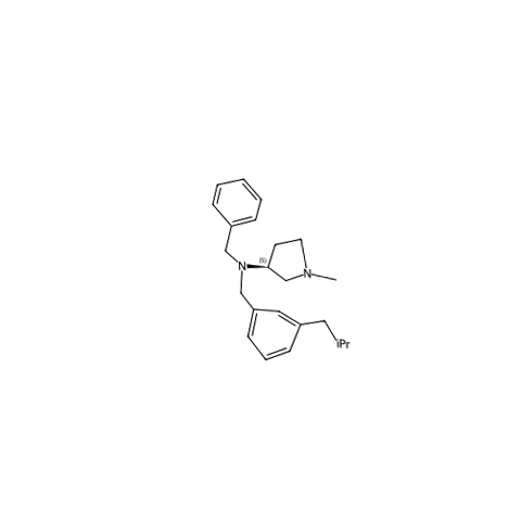 CC(C)Cc1cccc(CN(Cc2ccccc2)[C@H]2CCN(C)C2)c1